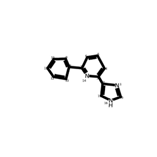 [c]1nc(-c2cccc(-c3ccccc3)n2)c[nH]1